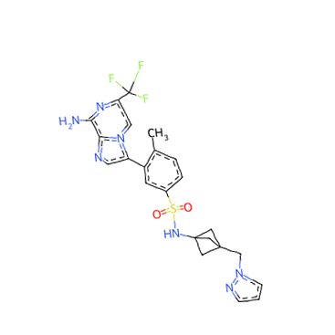 Cc1ccc(S(=O)(=O)NC23CC(Cn4cccn4)(C2)C3)cc1-c1cnc2c(N)nc(C(F)(F)F)cn12